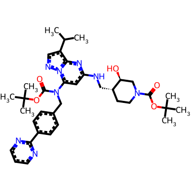 CC(C)c1cnn2c(N(Cc3ccc(-c4ncccn4)cc3)C(=O)OC(C)(C)C)cc(NC[C@H]3CCN(C(=O)OC(C)(C)C)C[C@@H]3O)nc12